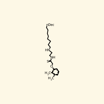 CCCCCCCCCCCCCCCCCCNCCNC(=S)COc1cccc(C)c1C